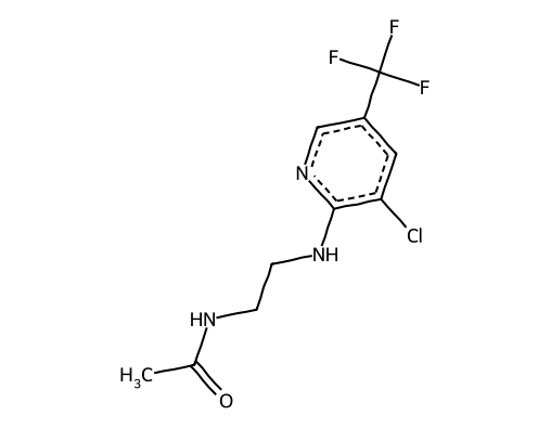 CC(=O)NCCNc1ncc(C(F)(F)F)cc1Cl